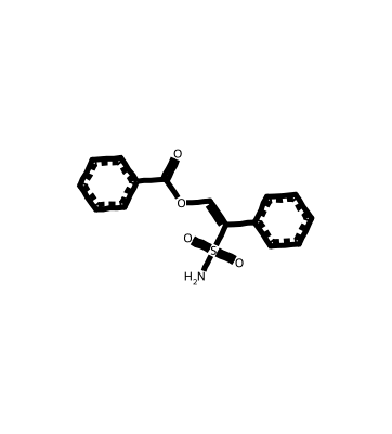 NS(=O)(=O)C(=COC(=O)c1ccccc1)c1ccccc1